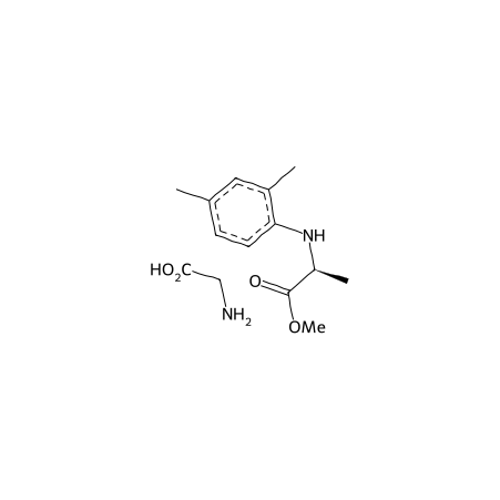 COC(=O)[C@H](C)Nc1ccc(C)cc1C.NCC(=O)O